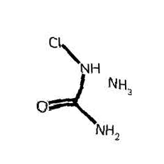 N.NC(=O)NCl